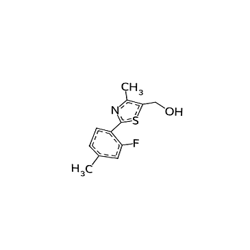 Cc1ccc(-c2nc(C)c(CO)s2)c(F)c1